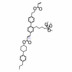 C=CC(=O)OCCc1ccc(-c2ccc(/C=C/C(=O)OC3CCC(c4ccc(CCC)cc4)CC3)cc2CCCC[Si](OC)(OC)OC)cc1